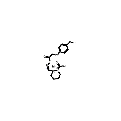 N[C@@]1(/C=N\OC(=O)COc2ccc(CO)cc2)CCCCN1C(=O)O